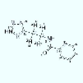 [2H]C([2H])(NC(=O)c1ccccc1)C([2H])([2H])c1c[nH]cn1